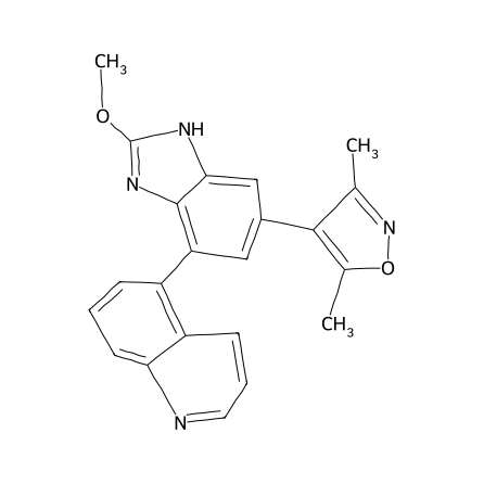 COc1nc2c(-c3cccc4ncccc34)cc(-c3c(C)noc3C)cc2[nH]1